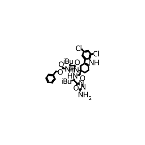 CCC(C)C(NC(=O)OCc1ccccc1)C(=O)N[C@]1(C(=O)NC(c2nnc(N)o2)C(C)CC)CCc2[nH]c3c(Cl)cc(Cl)cc3c2C1